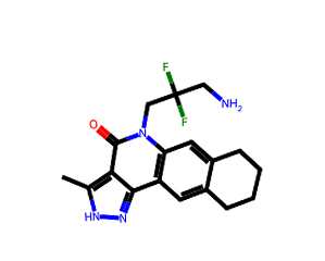 Cc1[nH]nc2c1c(=O)n(CC(F)(F)CN)c1cc3c(cc21)CCCC3